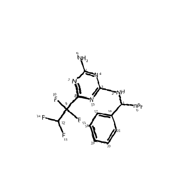 CCCC(Nc1nc(N)nc(C(F)(F)C(F)F)n1)c1ccccc1